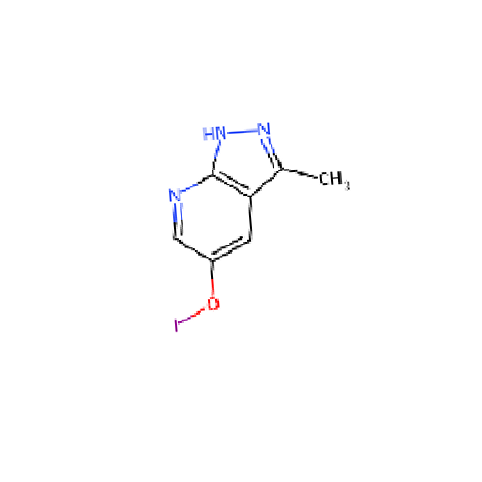 Cc1n[nH]c2ncc(OI)cc12